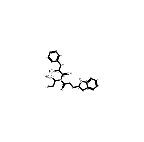 CC(C)CC(C(=O)O)N(C(=O)CCC1Cc2ccccc2O1)C(=O)C(N)Cc1ccccc1